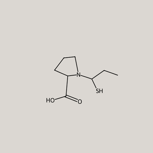 CCC(S)N1CCCC1C(=O)O